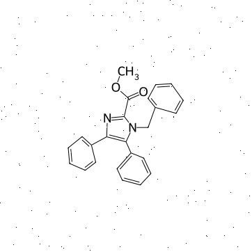 COC(=O)c1nc(-c2ccccc2)c(-c2ccccc2)n1Cc1ccccc1